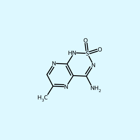 Cc1cnc2c(n1)C(N)=NS(=O)(=O)N2